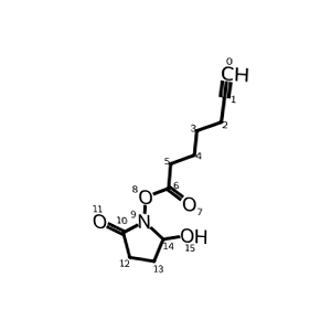 C#CCCCCC(=O)ON1C(=O)CCC1O